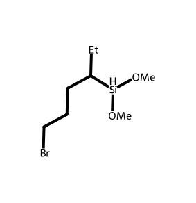 CCC(CCCBr)[SiH](OC)OC